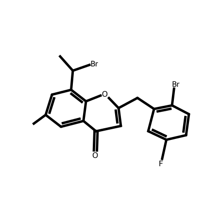 Cc1cc(C(C)Br)c2oc(Cc3cc(F)ccc3Br)cc(=O)c2c1